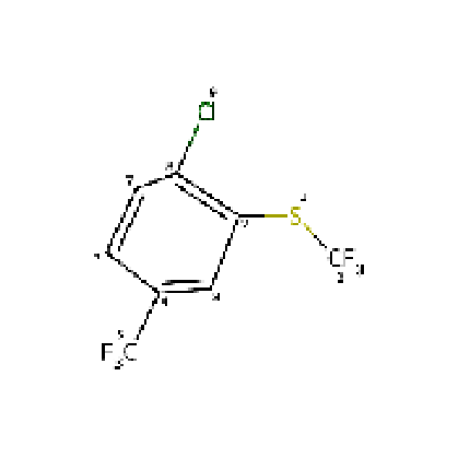 FC(F)(F)Sc1cc(C(F)(F)F)ccc1Cl